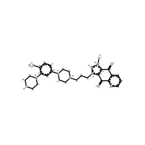 O=C1c2ncccc2C(=O)c2c1n(CCCN1CCN(c3ccc([N+](=O)[O-])c(N4CCOCC4)c3)CC1)n[n+]2[O-]